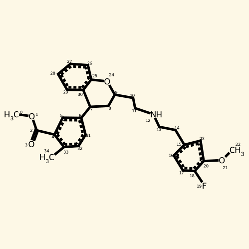 COC(=O)c1cc(C2CC(CCNCCc3ccc(F)c(OC)c3)Oc3ccccc32)ccc1C